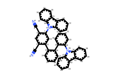 N#Cc1cc(C#N)c(-n2c3ccccc3c3ccccc32)cc1-c1ccccc1-c1ccccc1-n1c2ccccc2c2ccccc21